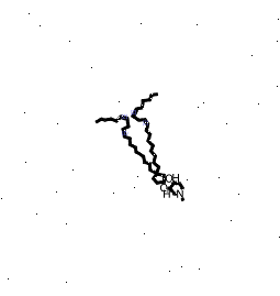 CCCCC/C=C\C/C=C\CCCCCCCCC1(CCCCCCCC/C=C\C/C=C\CCCCC)CCC2(C1)O[C@H]1CCN(C)C[C@@H]1O2